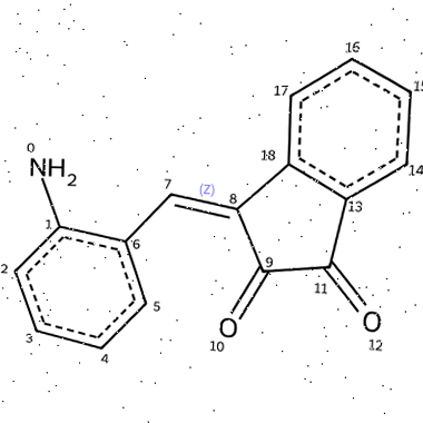 Nc1ccccc1/C=C1\C(=O)C(=O)c2ccccc21